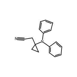 N#CCC1(N(c2ccccc2)c2ccccc2)CC1